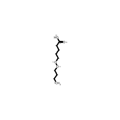 CCCCOOCCCCC(=O)O